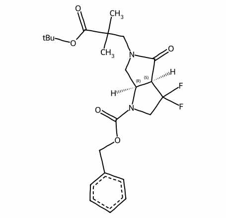 CC(C)(C)OC(=O)C(C)(C)CN1C[C@H]2[C@@H](C1=O)C(F)(F)CN2C(=O)OCc1ccccc1